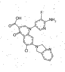 Nc1ncc(-n2cc(C(=O)O)c(=O)c3cc(Cl)c(N4Cc5cccnc5C4)cc32)cc1F